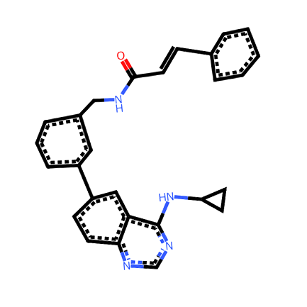 O=C(C=Cc1ccccc1)NCc1cccc(-c2ccc3ncnc(NC4CC4)c3c2)c1